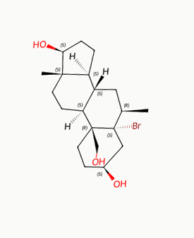 C[C@@H]1C[C@H]2[C@@H]3CC[C@H](O)[C@@]3(C)CC[C@@H]2[C@@]2(CO)CC[C@H](O)C[C@]12Br